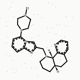 CCN1CCN(c2cccc3nc(CN4CCC[C@H]5CCc6cccnc6[C@H]54)cn23)CC1